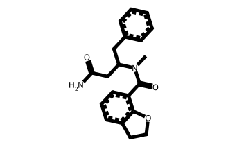 CN(C(=O)c1cccc2c1OCC2)C(CC(N)=O)Cc1ccccc1